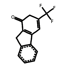 O=C1CC(C(F)(F)F)=CC2=C1Cc1ccccc12